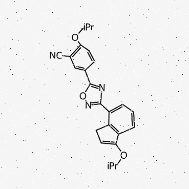 CC(C)OC1=CCc2c1cccc2-c1noc(-c2ccc(OC(C)C)c(C#N)c2)n1